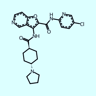 O=C(Nc1ccc(Cl)cn1)c1oc2ccncc2c1NC(=O)[C@H]1CC[C@H](N2CCCC2)CC1